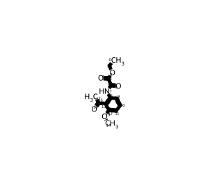 CCOC(=O)C(=O)Nc1cccc(OC)c1C(C)=O